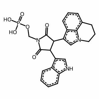 O=C1C(c2c[nH]c3ccccc23)C(c2cn3c4c(cccc24)CCC3)C(=O)N1COP(=O)(O)O